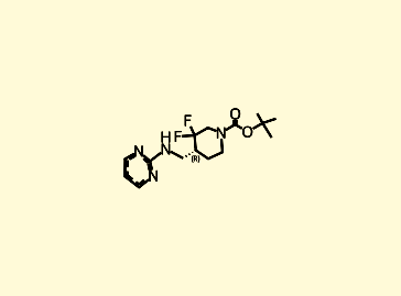 CC(C)(C)OC(=O)N1CC[C@H](CNc2ncccn2)C(F)(F)C1